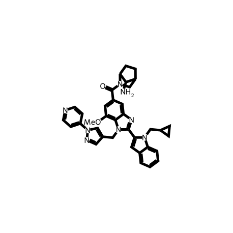 COc1cc(C(=O)N2CC3CCC2C3N)cc2nc(-c3cc4ccccc4n3CC3CC3)n(Cc3cnn(-c4ccncc4)c3)c12